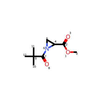 COC(=O)C1CN1C(=O)C(C)(C)C